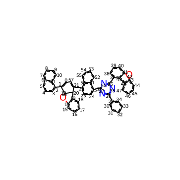 C1=C(c2cccc3ccccc23)C2Oc3ccccc3C2C(c2ccc(-c3nc(-c4ccccc4)nc(-c4cccc5oc6ccccc6c45)n3)c3ccccc23)=C1